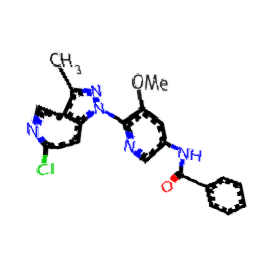 COc1cc(NC(=O)c2ccccc2)cnc1-n1nc(C)c2cnc(Cl)cc21